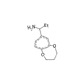 CCC(N)c1ccc2c(c1)OCCCO2